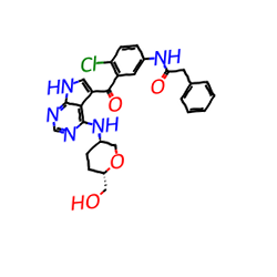 O=C(Cc1ccccc1)Nc1ccc(Cl)c(C(=O)c2c[nH]c3ncnc(N[C@@H]4CC[C@@H](CO)OC4)c23)c1